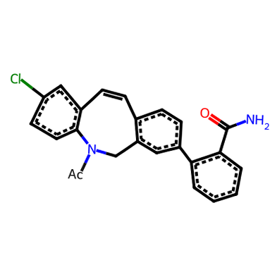 CC(=O)N1Cc2cc(-c3ccccc3C(N)=O)ccc2C=Cc2cc(Cl)ccc21